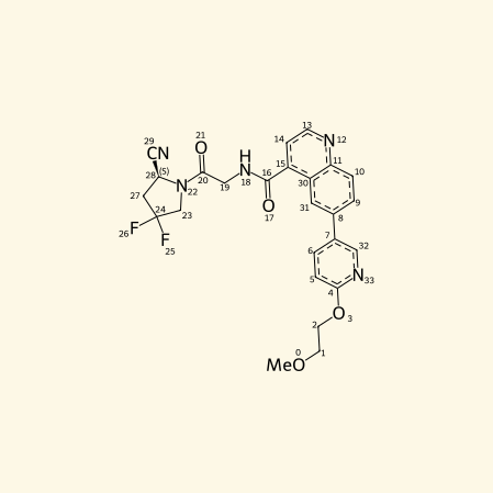 COCCOc1ccc(-c2ccc3nccc(C(=O)NCC(=O)N4CC(F)(F)C[C@H]4C#N)c3c2)cn1